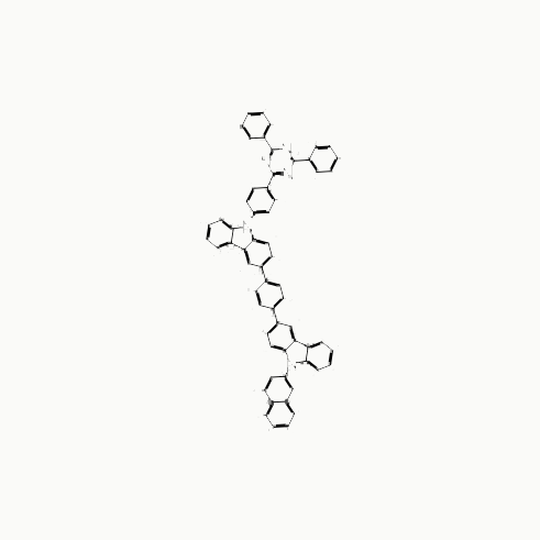 c1ccc(-c2nc(-c3ccccc3)nc(-c3ccc(-n4c5ccccc5c5cc(-c6ccc(-c7ccc8c(c7)c7ccccc7n8-c7ccc8ccccc8c7)cc6)ccc54)cc3)n2)cc1